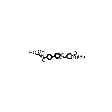 CC(C)(C)OC(=O)N1CCC(COc2ccc(C3=CCC(C(=O)NC[C@H](O)CO)CC3)cc2F)CC1